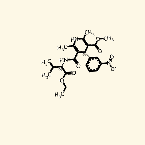 CCOC(=O)[C@@H](NC(=O)C1=C(C)NC(C)=C(C(=O)OC)[C@@H]1c1cccc([N+](=O)[O-])c1)C(C)C